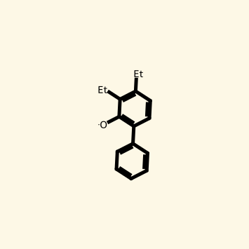 CCc1ccc(-c2ccccc2)c([O])c1CC